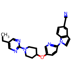 CCc1cnc(N2CCC(Oc3ccc(-n4ccc5cc(C#N)ccc54)nc3)CC2)nc1